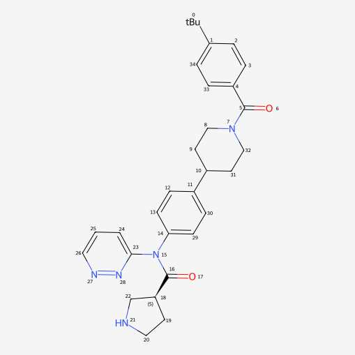 CC(C)(C)c1ccc(C(=O)N2CCC(c3ccc(N(C(=O)[C@H]4CCNC4)c4cccnn4)cc3)CC2)cc1